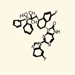 CC(C)(C[C@@H]1CC[C@@H](n2c(=O)[nH]c3cnc(-n4cnc5ccc(F)cc54)nc32)c2cc(F)ccc21)[Si](O)(c1ccccc1)c1ccccc1